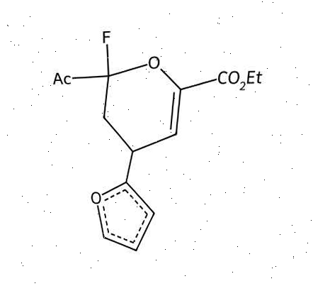 CCOC(=O)C1=CC(c2ccco2)CC(F)(C(C)=O)O1